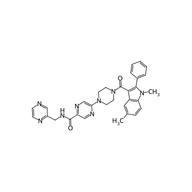 Cc1ccc2c(c1)c(C(=O)N1CCN(c3cnc(C(=O)NCc4cnccn4)cn3)CC1)c(-c1ccccc1)n2C